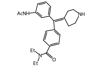 CCN(CC)C(=O)c1ccc(C(=C2CCNCC2)c2cccc(NC(C)=O)c2)cc1